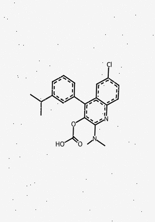 CC(C)c1cccc(-c2c(OC(=O)O)c(N(C)C)nc3ccc(Cl)cc23)c1